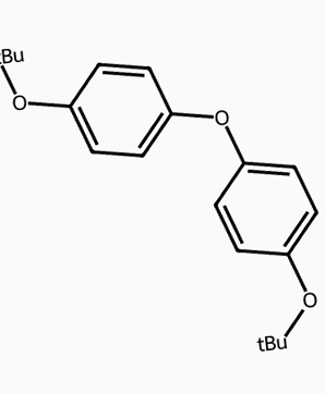 CC(C)(C)Oc1ccc(Oc2ccc(OC(C)(C)C)cc2)cc1